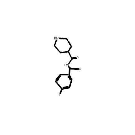 O=C(NC(=O)C1CCNCC1)c1ccc(F)cc1